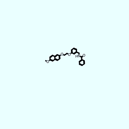 COc1ccc2cc(OCCOc3[c]c(CNC(=O)c4ccccc4)ccc3)ccc2c1